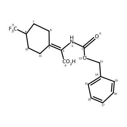 O=C(NC(C(=O)O)=C1CCC(C(F)(F)F)CC1)OCc1ccccc1